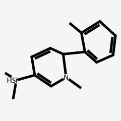 Cc1ccccc1C1C=CC([SiH](C)C)=CN1C